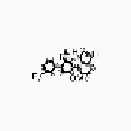 COc1cc(-c2cccc(C(F)(F)F)c2)c(F)cc1N1CCOC2CNCCC21.Cl